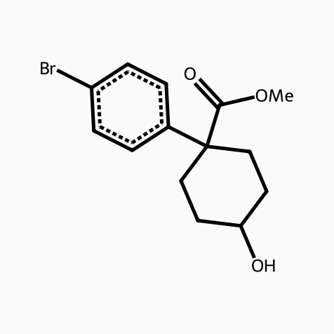 COC(=O)C1(c2ccc(Br)cc2)CCC(O)CC1